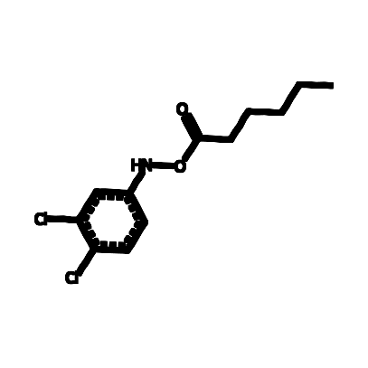 CCCCCC(=O)ONc1ccc(Cl)c(Cl)c1